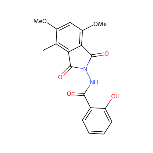 COc1cc(OC)c2c(c1C)C(=O)N(NC(=O)c1ccccc1O)C2=O